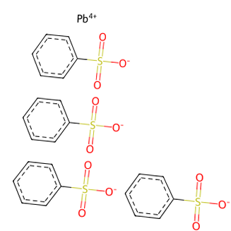 O=S(=O)([O-])c1ccccc1.O=S(=O)([O-])c1ccccc1.O=S(=O)([O-])c1ccccc1.O=S(=O)([O-])c1ccccc1.[Pb+4]